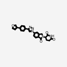 O=C1CCC(N2Cc3cc(-n4cc(-c5ccc(-c6ccoc6)cc5)nn4)ccc3C2=O)C(=O)N1